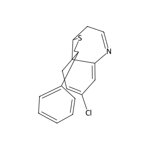 ClC1=CCC23C(=C1)N=CCC2SCC3c1ccccc1